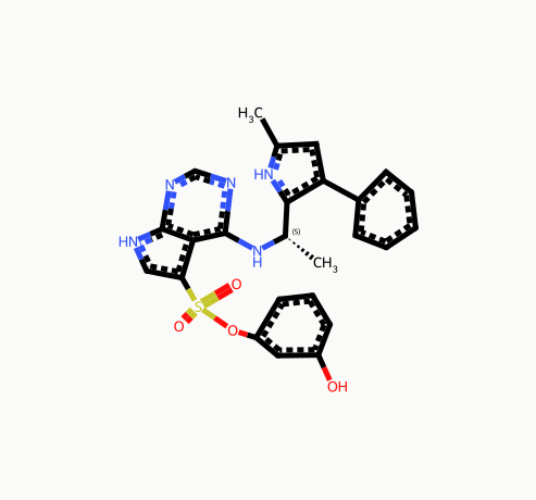 Cc1cc(-c2ccccc2)c([C@H](C)Nc2ncnc3[nH]cc(S(=O)(=O)Oc4cccc(O)c4)c23)[nH]1